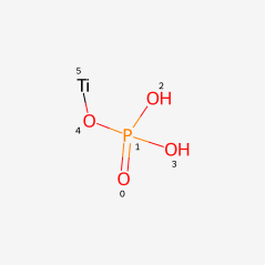 O=P(O)(O)[O][Ti]